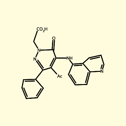 CC(=O)c1c(-c2ccccc2)nn(CC(=O)O)c(=O)c1Nc1cccc2ncccc12